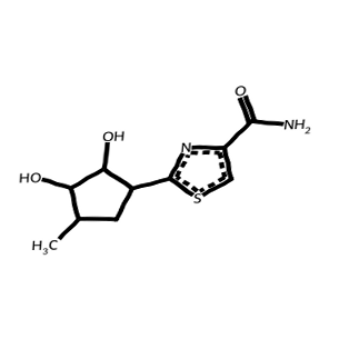 CC1CC(c2nc(C(N)=O)cs2)C(O)C1O